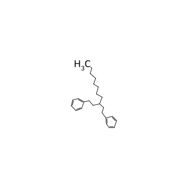 CCCCCCCCC(CCc1ccccc1)CCc1ccccc1